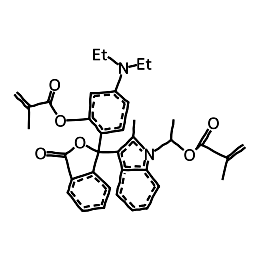 C=C(C)C(=O)Oc1cc(N(CC)CC)ccc1C1(c2c(C)n(C(C)OC(=O)C(=C)C)c3ccccc23)OC(=O)c2ccccc21